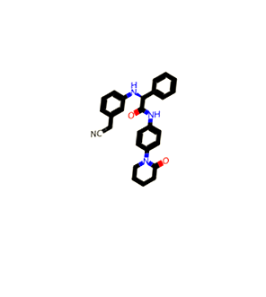 N#CCc1cccc(N[C@H](C(=O)Nc2ccc(N3CCCCC3=O)cc2)c2ccccc2)c1